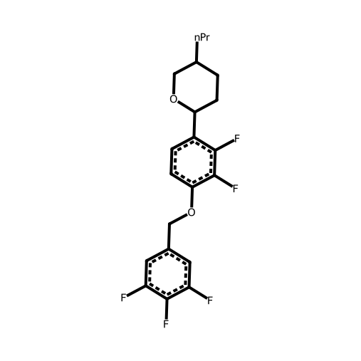 CCCC1CCC(c2ccc(OCc3cc(F)c(F)c(F)c3)c(F)c2F)OC1